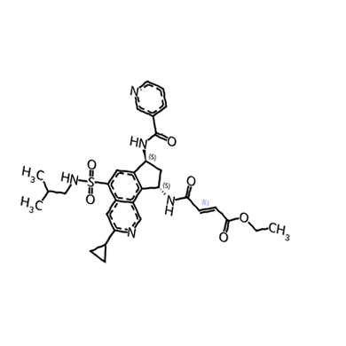 CCOC(=O)/C=C/C(=O)N[C@H]1C[C@H](NC(=O)c2cccnc2)c2cc(S(=O)(=O)NCC(C)C)c3cc(C4CC4)ncc3c21